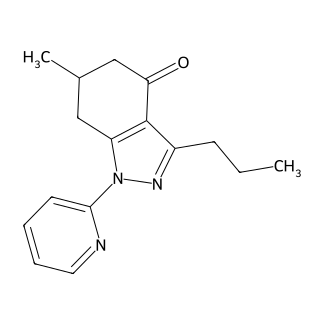 CCCc1nn(-c2ccccn2)c2c1C(=O)CC(C)C2